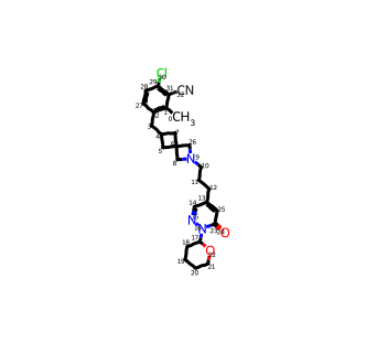 Cc1c(CC2CC3(C2)CN(CCCc2cnn(C4CCCCO4)c(=O)c2)C3)ccc(Cl)c1C#N